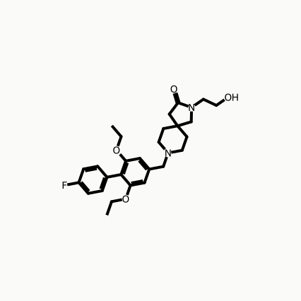 CCOc1cc(CN2CCC3(CC2)CC(=O)N(CCO)C3)cc(OCC)c1-c1ccc(F)cc1